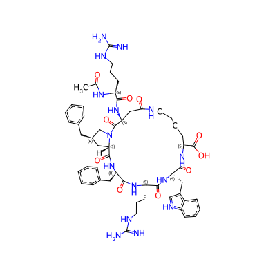 CC(=O)N[C@@H](CCCNC(=N)N)C(=O)N[C@H]1CC(=O)NCCCC[C@@H](C(=O)O)NC(=O)[C@H](Cc2c[nH]c3ccccc23)NC(=O)[C@H](CCCNC(=N)N)NC(=O)[C@@H](Cc2ccccc2)NC(=O)[C@@H]2C[C@@H](Cc3ccccc3)CN2C1=O